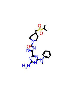 CC(C)S(=O)(=O)CC1CCN(c2nc(-c3nc(N)nc(N(C)c4ccccc4)n3)no2)CC1